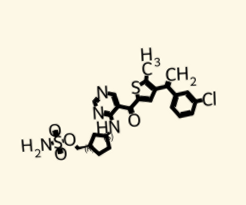 C=C(c1cccc(Cl)c1)c1cc(C(=O)c2cncnc2N[C@H]2CC[C@@H](COS(N)(=O)=O)C2)sc1C